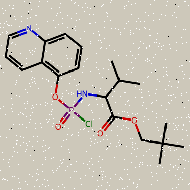 CC(C)C(NP(=O)(Cl)Oc1cccc2ncccc12)C(=O)OCC(C)(C)C